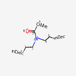 CCCCCCCCCCCCN(CCCCCCCCCCCC)C(=O)OC